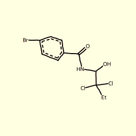 CCC(Cl)(Cl)C(O)NC(=O)c1ccc(Br)cc1